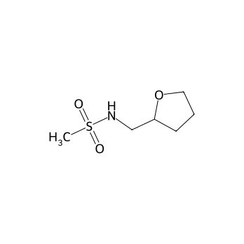 CS(=O)(=O)NCC1CCCO1